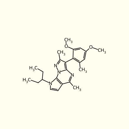 CCC(CC)n1ccc2c(C)nc3c(-c4c(C)cc(OC)cc4OC)c(C)nn3c21